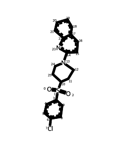 O=S(=O)(c1ccc(Cl)cc1)C1CCN(c2ccc3ccccc3n2)CC1